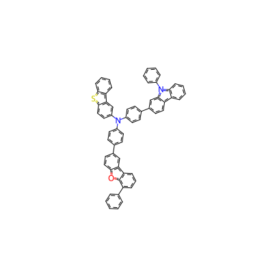 c1ccc(-c2cccc3c2oc2ccc(-c4ccc(N(c5ccc(-c6ccc7c8ccccc8n(-c8ccccc8)c7c6)cc5)c5ccc6sc7ccccc7c6c5)cc4)cc23)cc1